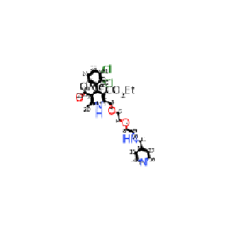 CCOC(=O)C1=C(COCCOCCNCc2ccncc2)NC(C)=C(C(=O)OC)C1c1cccc(Cl)c1Cl